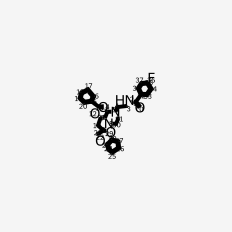 O=C(NCCN1CCN(C2(CCOC(=O)c3ccccc3)COc3ccccc3O2)CC1)c1ccc(F)cc1